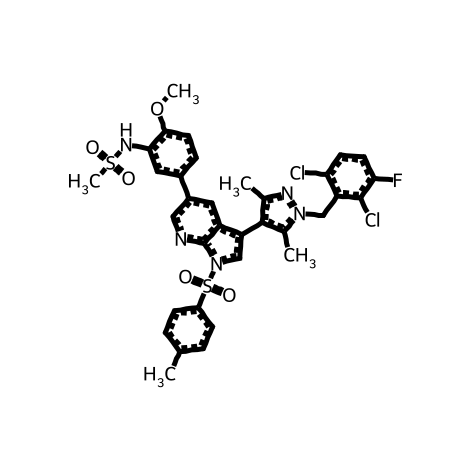 COc1ccc(-c2cnc3c(c2)c(-c2c(C)nn(Cc4c(Cl)ccc(F)c4Cl)c2C)cn3S(=O)(=O)c2ccc(C)cc2)cc1NS(C)(=O)=O